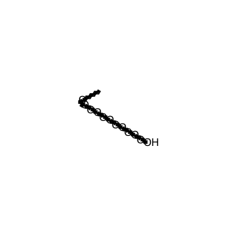 CCCCCCCCOC(C)C(C)OCCOCCOCCOCCOCCOCCOCCOCCOCCOCCO